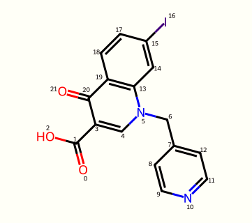 O=C(O)c1cn(Cc2ccncc2)c2cc(I)ccc2c1=O